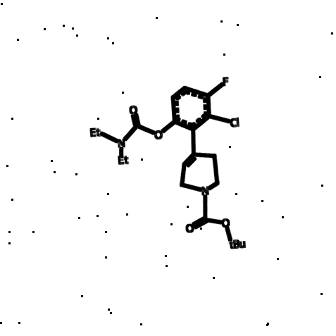 CCN(CC)C(=O)Oc1ccc(F)c(Cl)c1C1=CCN(C(=O)OC(C)(C)C)CC1